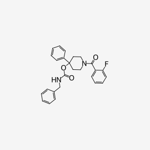 O=C(NCc1ccccc1)OC1(c2ccccc2)CCN(C(=O)c2ccccc2F)CC1